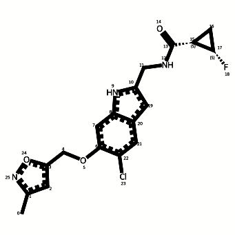 Cc1cc(COc2cc3[nH]c(CNC(=O)[C@@H]4C[C@@H]4F)cc3cc2Cl)on1